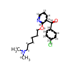 CN(C)CCCCCCOc1ncccc1C(=O)c1ccc(Cl)cc1